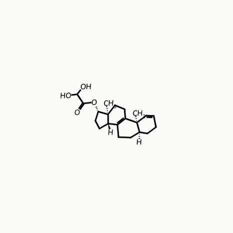 C[C@]12CCC3=C(CC[C@@H]4CCC=C[C@]34C)[C@@H]1CC[C@@H]2OC(=O)C(O)O